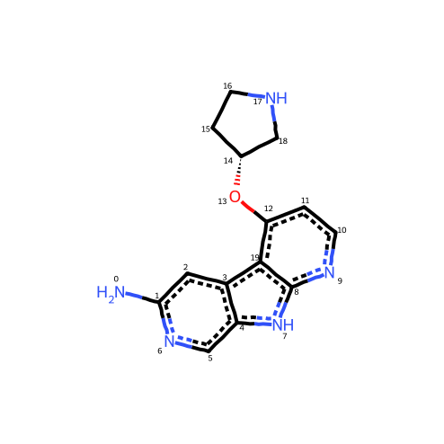 Nc1cc2c(cn1)[nH]c1nccc(O[C@@H]3CCNC3)c12